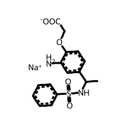 CC(NS(=O)(=O)c1ccccc1)c1ccc(OCC(=O)[O-])c(N)c1.[Na+]